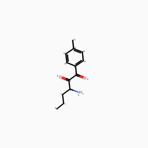 CCCC(N)C(=O)C(=O)c1ccc(C)cc1